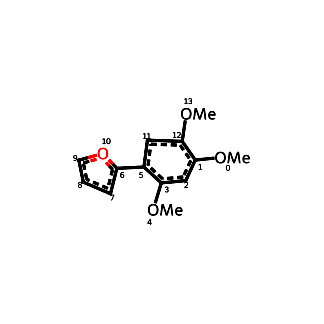 COc1cc(OC)c(-c2ccco2)cc1OC